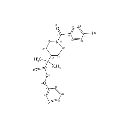 CC(C)(C(=O)OOc1ccccc1)C1CCN(C(=O)c2ccc(I)cc2)CC1